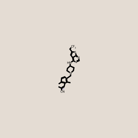 C/C(C#N)=C\c1c(C)ccc(CN2CCC(Nc3ncnc4sc(CC(F)(F)F)cc34)CC2)c1C